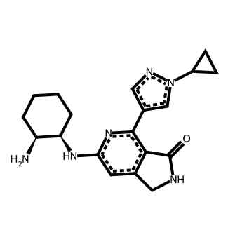 N[C@H]1CCCC[C@H]1Nc1cc2c(c(-c3cnn(C4CC4)c3)n1)C(=O)NC2